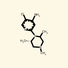 CC1CN(C)C[C@H](C)N1c1cc(N)c(Cl)cn1